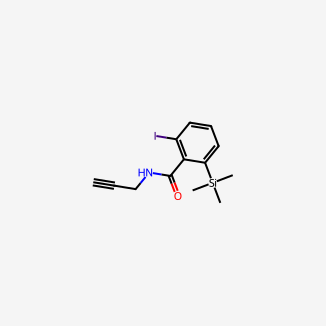 C#CCNC(=O)c1c(I)cccc1[Si](C)(C)C